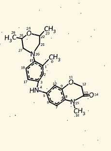 Cc1cc(Nc2ccc3c(c2)OCC(=O)N3C)ccc1N1CC(C)OC(C)C1